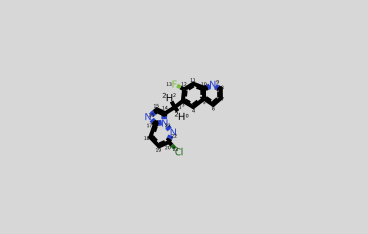 [2H]C([2H])(c1cc2cccnc2cc1F)c1cnc2ccc(Cl)nn12